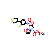 CC(C)(C)OC(=O)N(CC1CN(c2ccc(C3CCSCC3)c(F)c2)C(=O)O1)c1ccon1